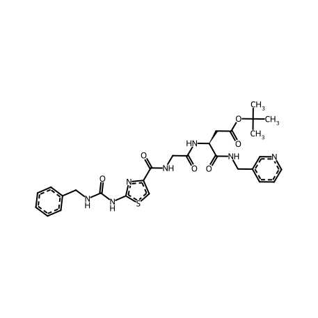 CC(C)(C)OC(=O)C[C@H](NC(=O)CNC(=O)c1csc(NC(=O)NCc2ccccc2)n1)C(=O)NCc1cccnc1